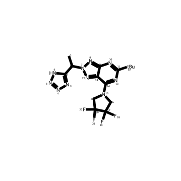 CC(c1nnn[nH]1)n1nc2nc(C(C)(C)C)nc(N3CC(F)(F)C(F)(F)C3)c2n1